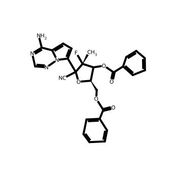 C[C@@]1(F)C(OC(=O)c2ccccc2)[C@@H](COC(=O)c2ccccc2)OC1(C#N)c1ccc2c(N)ncnn12